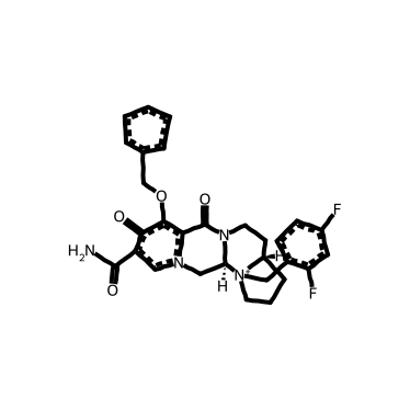 NC(=O)c1cn2c(c(OCc3ccccc3)c1=O)C(=O)N1CC[C@@H]3CCC[N+]3(Cc3ccc(F)cc3F)[C@H]1C2